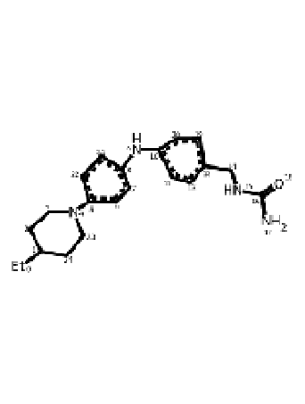 CCC1CCN(c2ccc(Nc3ccc(CNC(N)=O)cc3)cc2)CC1